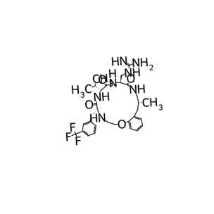 CC(C)[C@H]1NC(=O)[C@@H](Cc2cccc(C(F)(F)F)c2)NCCOc2ccccc2C[C@@H](C)CNC(=O)[C@H](CNC(=N)N)NC1=O